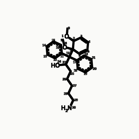 COC1C=CC=CC1(OC)C(c1ccccc1)(c1ccccc1)C(O)CCCCCN